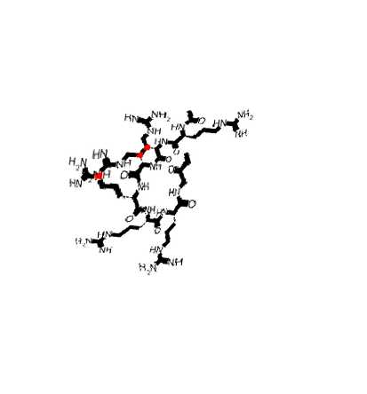 CCC(=O)CNC(=O)[C@H](CCCNC(=N)N)NC(=O)[C@H](CCCNC(=N)N)NC(=O)[C@H](CCCNC(=N)N)NC(=O)[C@H](CCCNC(=N)N)NC(=O)[C@H](CCCNC(=N)N)NC(=O)[C@H](CCCNC(=N)N)NC(C)=O